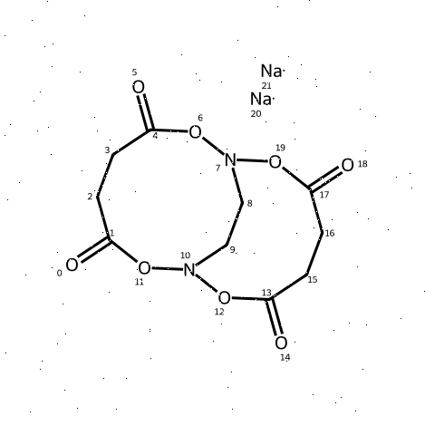 O=C1CCC(=O)ON2CCN(O1)OC(=O)CCC(=O)O2.[Na].[Na]